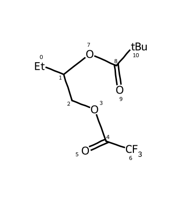 CCC(COC(=O)C(F)(F)F)OC(=O)C(C)(C)C